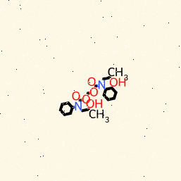 CC(O)CN(C(=O)OCOC(=O)N(CC(C)O)C1CCCCC1)C1CCCCC1